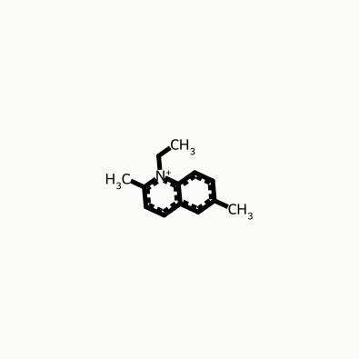 CC[n+]1c(C)ccc2cc(C)ccc21